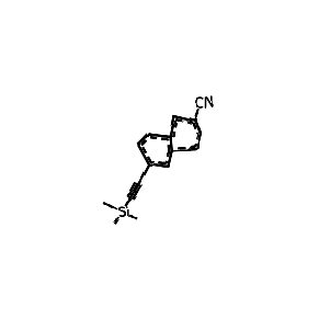 C[Si](C)(C)C#Cc1ccc2cc(C#N)ccc2c1